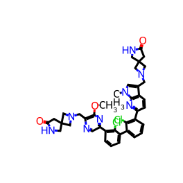 COc1nc(-c2cccc(-c3cccc(-c4ccc5c(CN6CC7(CNC(=O)C7)C6)cn(C)c5n4)c3Cl)c2Cl)cnc1CN1CC2(CNC(=O)C2)C1